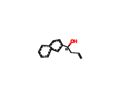 C=CC[C@H](O)c1ccc2ccccc2c1